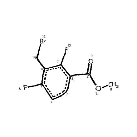 COC(=O)c1ccc(F)c(CBr)c1F